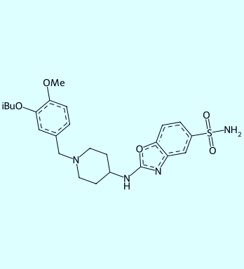 COc1ccc(CN2CCC(Nc3nc4cc(S(N)(=O)=O)ccc4o3)CC2)cc1OCC(C)C